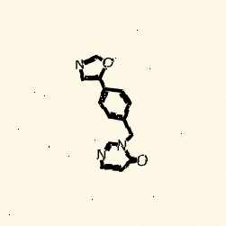 O=c1ccncn1Cc1ccc(-c2cnco2)cc1